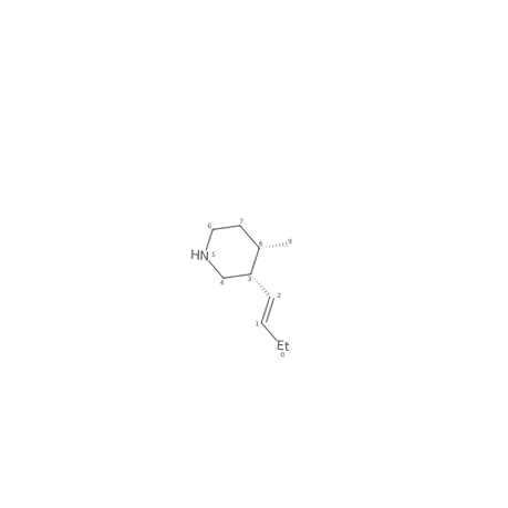 CC/C=C/[C@@H]1CNCC[C@@H]1C